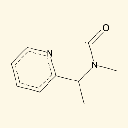 CC(c1ccccn1)N(C)[C]=O